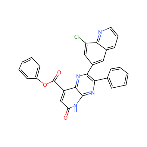 O=C(Oc1ccccc1)c1cc(=O)[nH]c2nc(-c3ccccc3)c(-c3cc(Cl)c4ncccc4c3)nc12